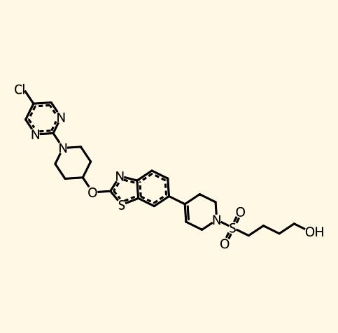 O=S(=O)(CCCCO)N1CC=C(c2ccc3nc(OC4CCN(c5ncc(Cl)cn5)CC4)sc3c2)CC1